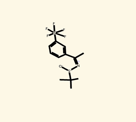 C/C(=N/[S+]([O-])C(C)(C)C)c1cccc(S(F)(F)(F)(F)F)c1